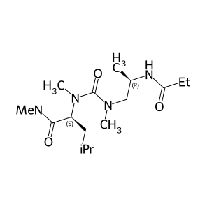 CCC(=O)N[C@H](C)CN(C)C(=O)N(C)[C@@H](CC(C)C)C(=O)NC